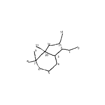 CCCC1CC[C]C(C)(C)C1(C)CCC